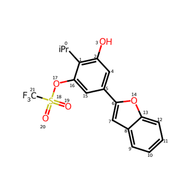 CC(C)c1c(O)cc(-c2cc3ccccc3o2)cc1OS(=O)(=O)C(F)(F)F